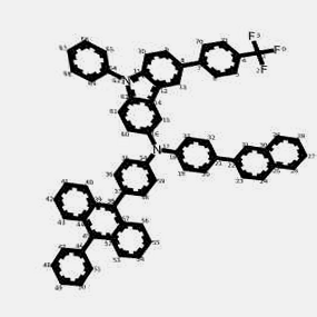 FC(F)(F)c1ccc(-c2ccc3c(c2)c2cc(N(c4ccc(-c5ccc6ccccc6c5)cc4)c4ccc(-c5c6ccccc6c(-c6ccccc6)c6ccccc56)cc4)ccc2n3-c2ccccc2)cc1